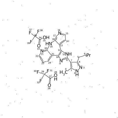 Cc1[nH]nc(CC(C)C)c1-c1nc2c([nH]1)-c1ccncc1Nc1ncccc1-2.O=C(O)C(F)(F)F.O=C(O)C(F)(F)F